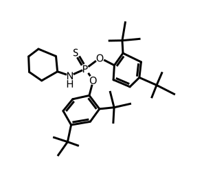 CC(C)(C)c1ccc(OP(=S)(NC2CCCCC2)Oc2ccc(C(C)(C)C)cc2C(C)(C)C)c(C(C)(C)C)c1